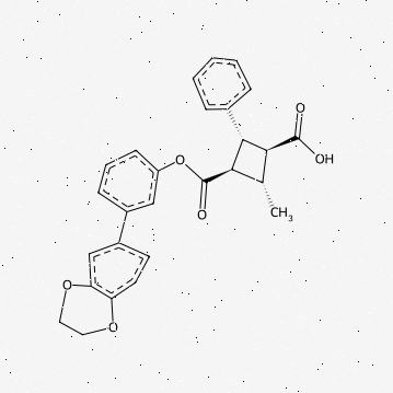 C[C@@H]1[C@@H](C(=O)Oc2cccc(-c3ccc4c(c3)OCCO4)c2)[C@H](c2ccccc2)[C@H]1C(=O)O